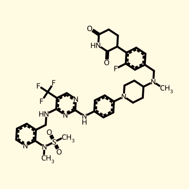 CN(Cc1ccc(C2CCC(=O)NC2=O)c(F)c1)C1CCN(c2ccc(Nc3ncc(C(F)(F)F)c(NCc4cccnc4N(C)S(C)(=O)=O)n3)cc2)CC1